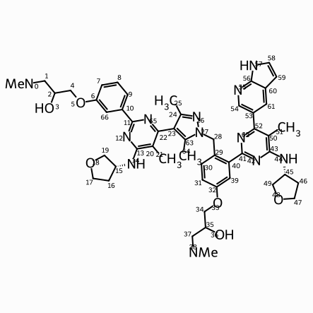 CNCC(O)COc1cccc(-c2nc(N[C@@H]3CCOC3)c(C)c(-c3c(C)nn(Cc4ccc(OCC(O)CNC)cc4-c4nc(N[C@@H]5CCOC5)c(C)c(-c5cnc6[nH]ccc6c5)n4)c3C)n2)c1